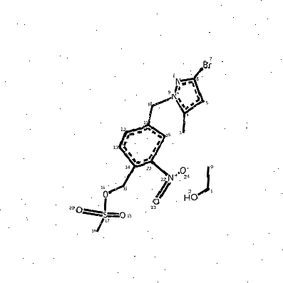 CCO.Cc1cc(Br)nn1Cc1ccc(COS(C)(=O)=O)c([N+](=O)[O-])c1